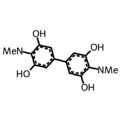 CNc1c(O)cc(-c2cc(O)c(NC)c(O)c2)cc1O